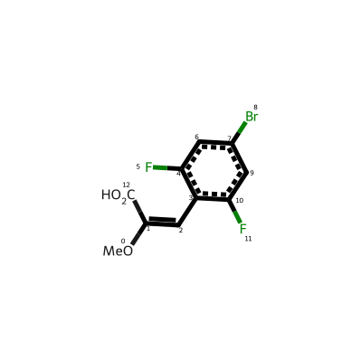 COC(=Cc1c(F)cc(Br)cc1F)C(=O)O